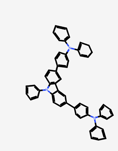 C1=CC(N(c2ccccc2)c2ccc(-c3ccc4c(c3)c3cc(-c5ccc(N(c6ccccc6)c6ccccc6)cc5)ccc3n4-c3ccccc3)cc2)=CCC1